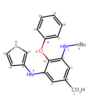 CCCCNc1cc(C(=O)O)cc(Nc2ccsc2)c1Oc1ccccc1